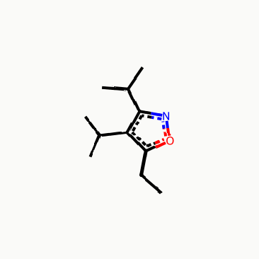 CCc1onc(C(C)C)c1C(C)C